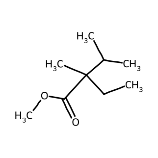 CCC(C)(C(=O)OC)C(C)C